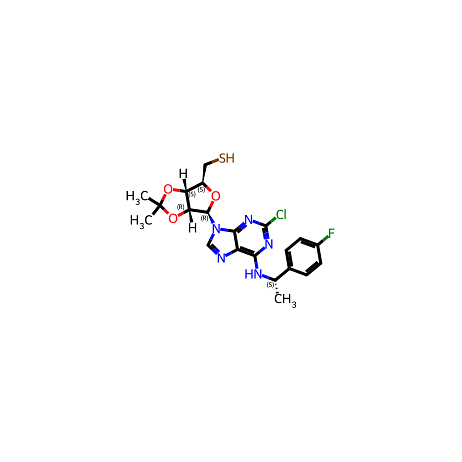 C[C@H](Nc1nc(Cl)nc2c1ncn2[C@@H]1O[C@H](CS)[C@H]2OC(C)(C)O[C@H]21)c1ccc(F)cc1